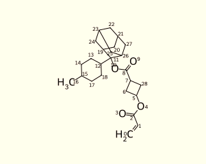 C=CC(=O)OC1CC(C(=O)OC2(C3CCC(C)CC3)C3CC4CC(C3)CC2C4)C1